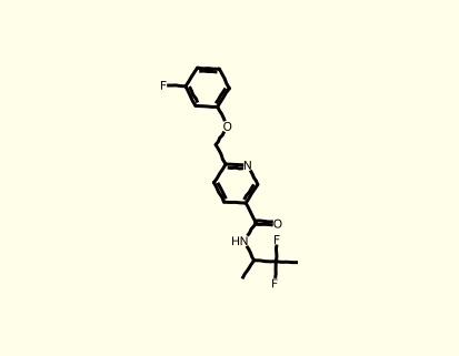 CC(NC(=O)c1ccc(COc2cccc(F)c2)nc1)C(C)(F)F